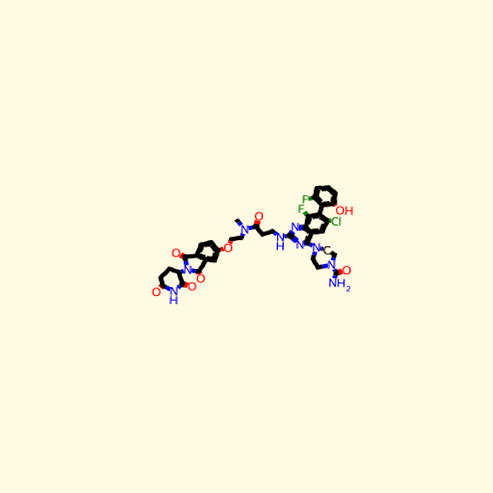 CN(CCOc1ccc2c(c1)C(=O)N(C1CCC(=O)NC1=O)C2=O)C(=O)CCNc1nc(N2CCN(C(N)=O)CC2)c2cc(Cl)c(-c3c(O)cccc3F)c(F)c2n1